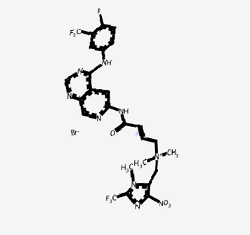 Cn1c(C(F)(F)F)nc([N+](=O)[O-])c1C[N+](C)(C)C/C=C/C(=O)Nc1cc2c(Nc3ccc(F)c(C(F)(F)F)c3)ncnc2cn1.[Br-]